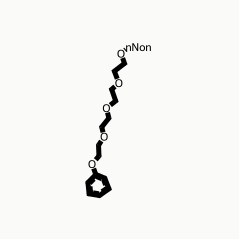 CCCCCCCCCOCCOCCOCCOCCOc1ccccc1